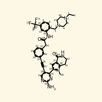 CCN1CCN(Cc2ccc(C(F)(F)F)cc2NC(=O)Cc2cccc(C#Cc3cnc(N)nc3-c3cc4c(n3C)CCNC4=O)c2)CC1